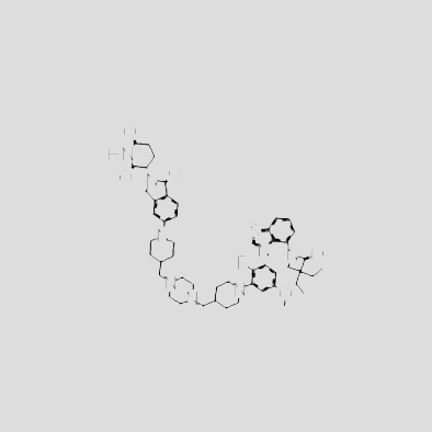 CCC1(CC)C(=O)N(c2cccc3scnc23)[C@H]1c1cc(F)c(N2CCC(CN3CCN(CC4CCN(c5ccc6c(c5)CN([C@H]5CCC(=O)NC5=O)C6=O)CC4)CC3)CC2)cc1OC